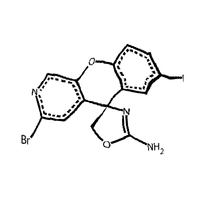 NC1=N[C@@]2(CO1)c1cc(I)ccc1Oc1cnc(Br)cc12